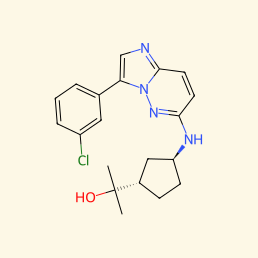 CC(C)(O)[C@H]1CC[C@H](Nc2ccc3ncc(-c4cccc(Cl)c4)n3n2)C1